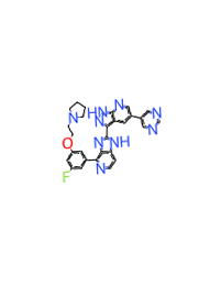 Fc1cc(OCCN2CCCC2)cc(-c2nccc3[nH]c(-c4n[nH]c5ncc(-c6cncnc6)cc45)nc23)c1